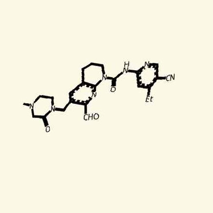 CCc1cc(NC(=O)N2CCCc3cc(CN4CCN(C)CC4=O)c(C=O)nc32)ncc1C#N